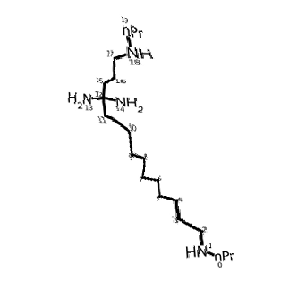 CCCNCCCCCCCCCCC(N)(N)CCCNCCC